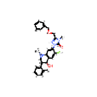 CCn1c(COCc2ccccc2)nn(-c2cc3c(cc2F)C(O)C(c2ccccc2C)CN3C(C)C)c1=O